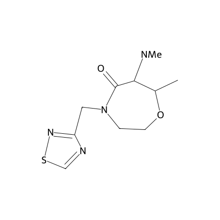 CNC1C(=O)N(Cc2ncsn2)CCOC1C